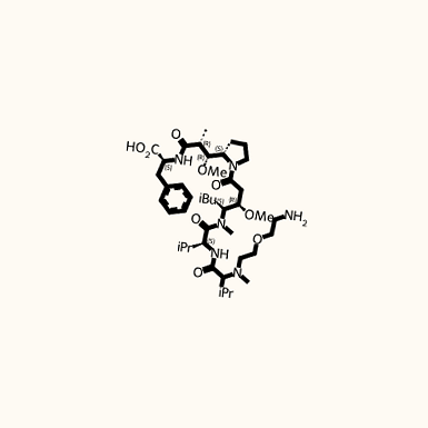 CC[C@H](C)C([C@@H](CC(=O)N1CCC[C@H]1[C@H](OC)[C@@H](C)C(=O)N[C@@H](Cc1ccccc1)C(=O)O)OC)N(C)C(=O)[C@@H](NC(=O)C(C(C)C)N(C)CCOCCN)C(C)C